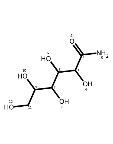 NC(=O)C(O)C(O)C(O)C(O)CO